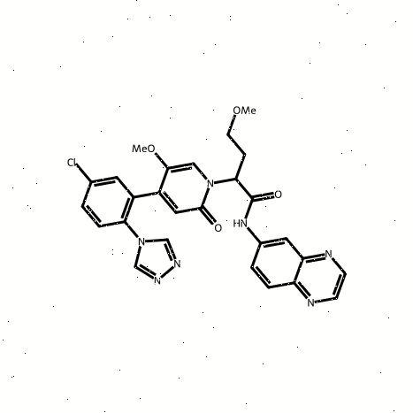 COCCC(C(=O)Nc1ccc2nccnc2c1)n1cc(OC)c(-c2cc(Cl)ccc2-n2cnnc2)cc1=O